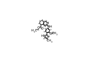 CCOC(=O)C1CCCc2cnc(Nc3ccc(-c4nc(C)c[nH]4)c(OC)c3)nc21